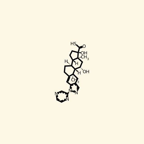 C[C@]12Cc3cnn(-c4cnccn4)c3C=C1CC[C@@H]1[C@@H]2[C@@H](O)C[C@@]2(C)[C@H]1CC[C@]2(O)C(=O)S